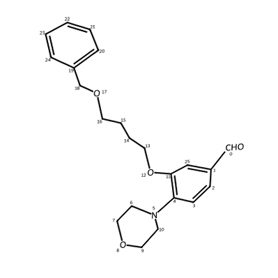 O=Cc1ccc(N2CCOCC2)c(OCCCCOCc2ccccc2)c1